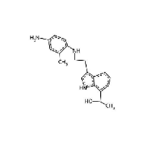 Cc1cc(N)ccc1NCCc1c[nH]c2c(C(C)O)cccc12